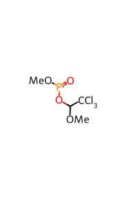 COC(O[P](=O)OC)C(Cl)(Cl)Cl